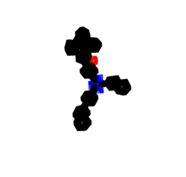 c1ccc(C2(c3ccc4c(c3)oc3cc(-c5nc(-c6ccc(-c7ccc8ccccc8c7)cc6)nc(-c6ccc7ccccc7c6)n5)ccc34)c3ccccc3-c3ccccc32)cc1